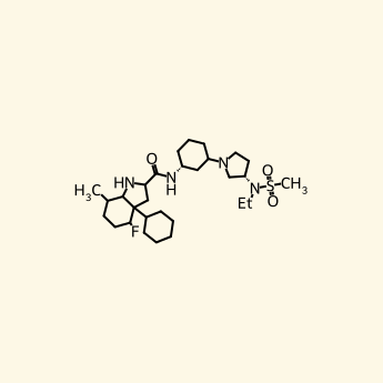 CCN([C@H]1CCN(C2CCC[C@@H](NC(=O)C3CC4(C5CCCCC5)C(F)CCC(C)C4N3)C2)C1)S(C)(=O)=O